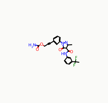 CC1=NN(c2cccc(C#CCOC(N)=O)c2)C(=O)C1C(=O)Nc1cccc(C(C)(F)F)c1